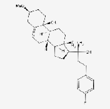 CO[C@H]1CC[C@@]2(C)C(=CC[C@H]3[C@@H]4CC[C@H]([C@](C)(O)CCc5ccc(F)cc5)[C@@]4(C)CC[C@@H]32)C1